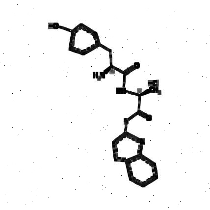 C[C@H](NC(=O)[C@@H](N)Cc1ccc(O)cc1)C(=O)Sc1ccc2ccccc2n1.Cl